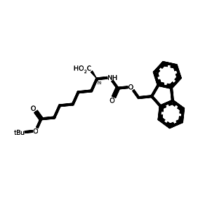 CC(C)(C)OC(=O)CCCCC[C@H](NC(=O)OCC1c2ccccc2-c2ccccc21)C(=O)O